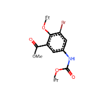 CCOc1c(Br)cc(NC(=O)OC(C)C)cc1C(=O)OC